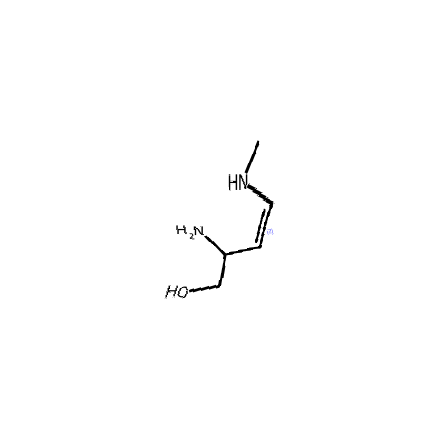 CN/C=C\C(N)CO